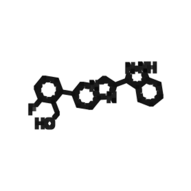 OCc1c(F)cccc1-c1ccc2nc(-c3n[nH]c4ccccc34)cn2c1